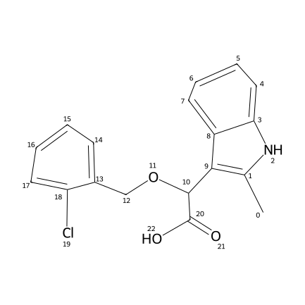 Cc1[nH]c2ccccc2c1C(OCc1ccccc1Cl)C(=O)O